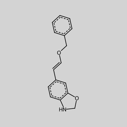 C(=Cc1ccc2c(c1)OCN2)OCc1ccccc1